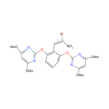 COc1cc(OC)nc(Oc2cccc(Oc3nc(OC)cc(OC)n3)c2/C=C(/Br)[N+](=O)[O-])n1